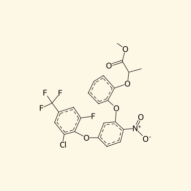 COC(=O)C(C)Oc1ccccc1Oc1cc(Oc2c(F)cc(C(F)(F)F)cc2Cl)ccc1[N+](=O)[O-]